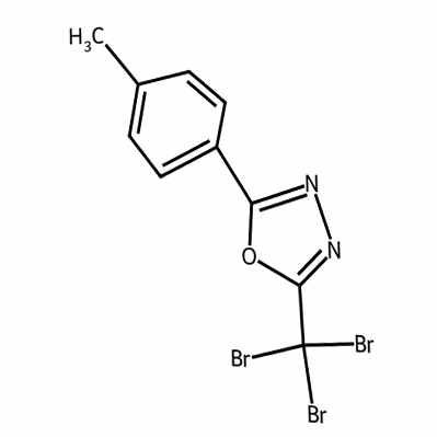 Cc1ccc(-c2nnc(C(Br)(Br)Br)o2)cc1